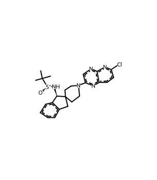 CC(C)(C)[S@+]([O-])N[C@@H]1c2ccccc2CC12CCN(c1cnc3nc(Cl)ccc3n1)CC2